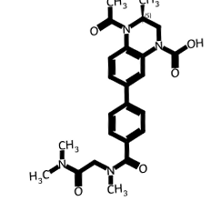 CC(=O)N1c2ccc(-c3ccc(C(=O)N(C)CC(=O)N(C)C)cc3)cc2N(C(=O)O)C[C@@H]1C